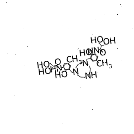 Cc1cc(CN2CCCNCCCN(Cc3cc(C)cc(NC(=O)C(CO)CO)c3O)CCC2)c(O)c(NC(=O)C(CO)CO)c1